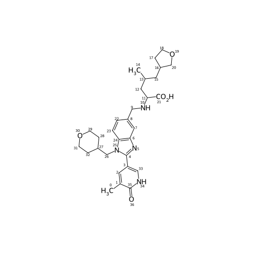 Cc1cc(-c2nc3cc(CNC(CC(C)CC4CCOC4)C(=O)O)ccc3n2CC2CCOCC2)c[nH]c1=O